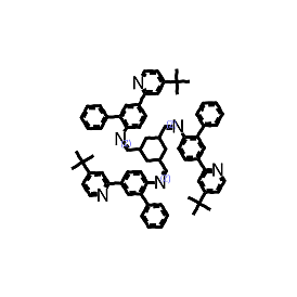 CC(C)(C)c1ccnc(-c2ccc(/N=C\C3CC(/C=N\c4ccc(-c5cc(C(C)(C)C)ccn5)cc4-c4ccccc4)CC(/C=N\c4ccc(-c5cc(C(C)(C)C)ccn5)cc4-c4ccccc4)C3)c(-c3ccccc3)c2)c1